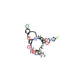 C[C@@H]1[C@@H](C)CCC[C@@H]([C@H]2OC[C@@H](N3CC(F)C3)CO2)[C@@H]2CC[C@H]2CN2CCCCc3cc(Cl)ccc3COc3ccc(cc32)C(=O)NS1(=O)=O